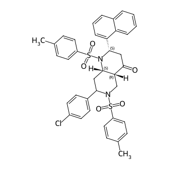 Cc1ccc(S(=O)(=O)N2C[C@H]3C(=O)C[C@@H](c4cccc5ccccc45)N(S(=O)(=O)c4ccc(C)cc4)[C@H]3CC2c2ccc(Cl)cc2)cc1